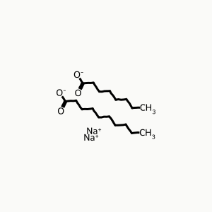 CCCCCCCC(=O)[O-].CCCCCCCCCC(=O)[O-].[Na+].[Na+]